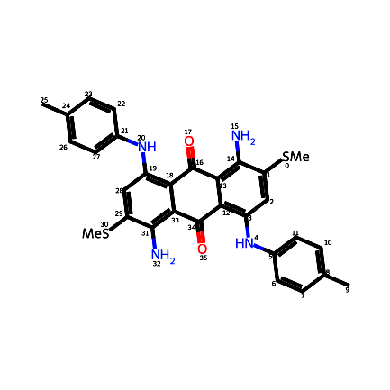 CSc1cc(Nc2ccc(C)cc2)c2c(c1N)C(=O)c1c(Nc3ccc(C)cc3)cc(SC)c(N)c1C2=O